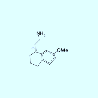 COc1ccc2c(c1)/C(=C\CN)CCC2